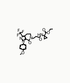 CCOC(=O)C1(NC(=O)CCN2CCc3c(C(F)(F)F)nn(-c4ccc(OC)cc4)c3C2=O)CC1